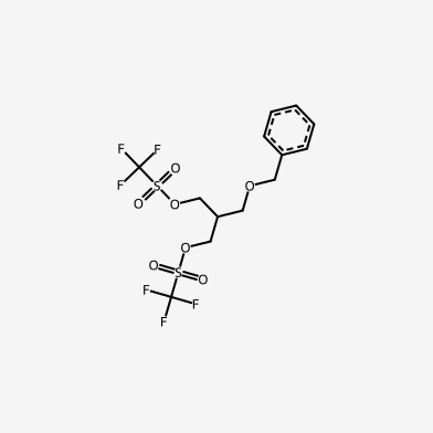 O=S(=O)(OCC(COCc1ccccc1)COS(=O)(=O)C(F)(F)F)C(F)(F)F